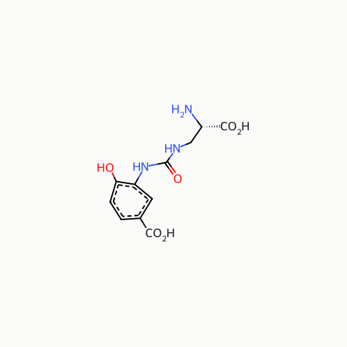 N[C@@H](CNC(=O)Nc1cc(C(=O)O)ccc1O)C(=O)O